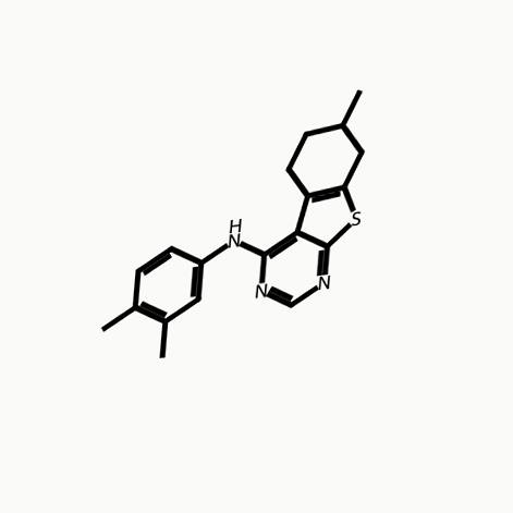 Cc1ccc(Nc2ncnc3sc4c(c23)CCC(C)C4)cc1C